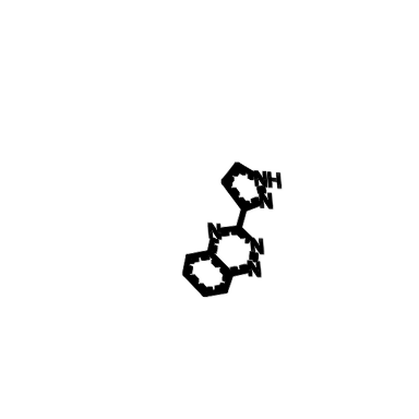 c1ccc2nc(-c3cc[nH]n3)nnc2c1